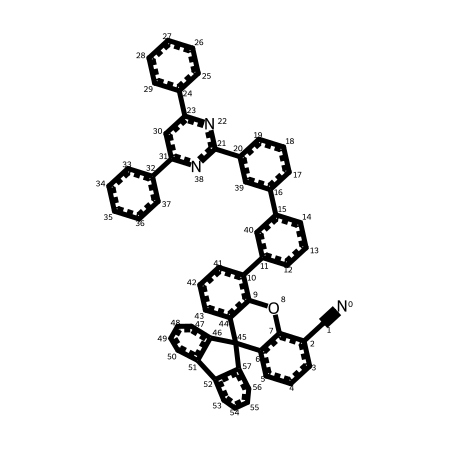 N#Cc1cccc2c1Oc1c(-c3cccc(-c4cccc(-c5nc(-c6ccccc6)cc(-c6ccccc6)n5)c4)c3)cccc1C21c2ccccc2-c2ccccc21